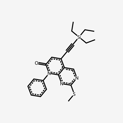 CC[Si](C#Cc1cc(=O)n(-c2ccccc2)c2nc(SC)ncc12)(CC)CC